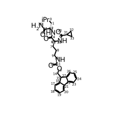 CC(C)C[C@H](NC(=O)[C@H](CCCNC(=O)OCC1c2ccccc2-c2ccccc21)NC(=O)C1CC1)C(N)=O